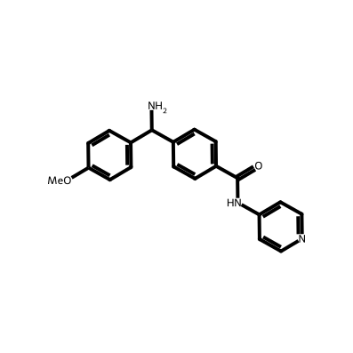 COc1ccc(C(N)c2ccc(C(=O)Nc3ccncc3)cc2)cc1